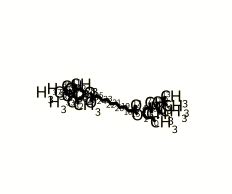 CCCC(CC(C)(C)N(CC)OC(C)C)OC(=O)CCCCCCCCC(=O)OC1CC(C)(C)N(OC(C)C)C(C)(C)C1